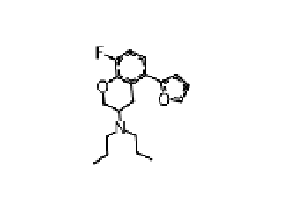 CCCN(CCC)C1COc2c(F)ccc(-c3ccco3)c2C1